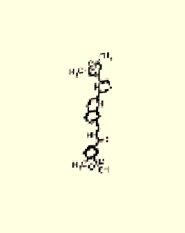 Cc1ccc(C(=O)NCc2cc3nc(-c4cncc(N5C[C@@H](C)O[C@@H](C)C5)n4)ccc3cn2)cc1S(C)(=O)=O